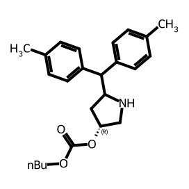 CCCCOC(=O)O[C@H]1CNC(C(c2ccc(C)cc2)c2ccc(C)cc2)C1